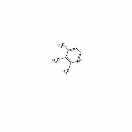 CC1=[C][C]=[N+]C(C)=C1C